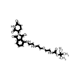 CC(C)(C)OC(=O)NCCOCCNCCNc1cccc2c1C(=O)N(C1CCC(=O)NC1=O)C2=O